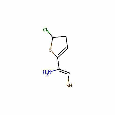 N/C(=C\S)C1=CCC(Cl)S1